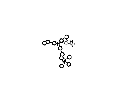 CC1(C)c2ccccc2-c2ccc(N(c3ccc(-c4ccc5ccccc5c4)cc3)c3ccc(-c4ccc5c(ccc6c5c(-c5ccccc5)c(-c5ccccc5)n6-c5ccccc5)c4)cc3)cc21